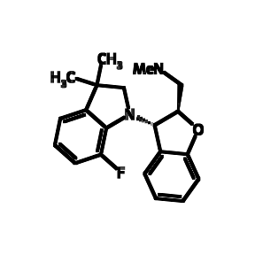 CNC[C@H]1Oc2ccccc2[C@@H]1N1CC(C)(C)c2cccc(F)c21